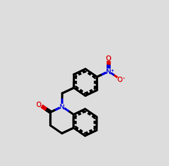 O=C1CCc2ccccc2N1Cc1ccc([N+](=O)[O-])cc1